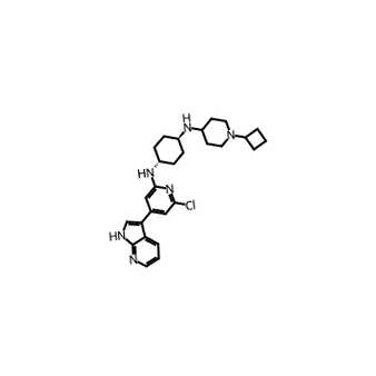 Clc1cc(-c2c[nH]c3ncccc23)cc(N[C@H]2CC[C@H](NC3CCN(C4CCC4)CC3)CC2)n1